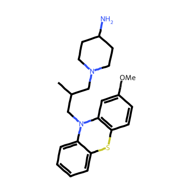 COc1ccc2c(c1)N(CC(C)CN1CCC(N)CC1)c1ccccc1S2